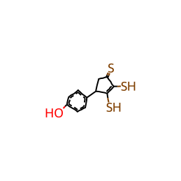 Oc1ccc(C2CC(=S)C(S)=C2S)cc1